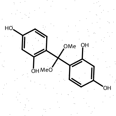 COC(OC)(c1ccc(O)cc1O)c1ccc(O)cc1O